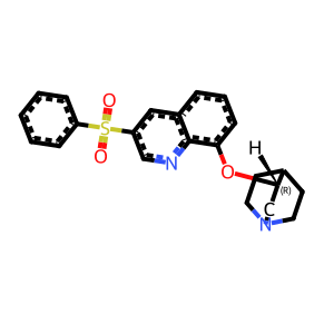 O=S(=O)(c1ccccc1)c1cnc2c(O[C@H]3CN4CCC3CC4)cccc2c1